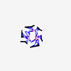 CC1CN1P1(N2CC2C)=NP(N2CC2C)(N2CC2C)=NP(N2CC2C)(N2CC2C)=N1